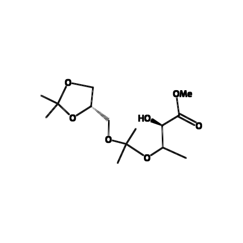 COC(=O)[C@H](O)C(C)OC(C)(C)OC[C@H]1COC(C)(C)O1